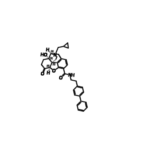 O=C(NCCc1ccc(-c2ccccc2)cc1)c1ccc2c3c1O[C@H]1C(=O)CC[C@@]4(O)[C@@H](C2)N(CC2CC2)CC[C@]314